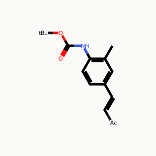 CC(=O)/C=C/c1ccc(NC(=O)OC(C)(C)C)c(C)c1